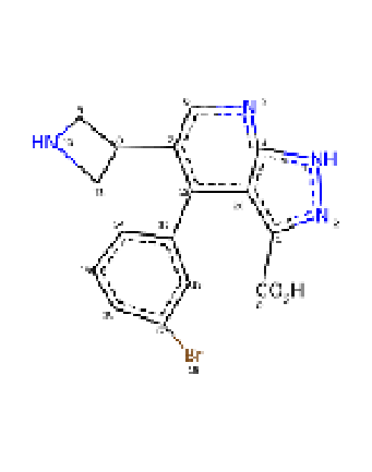 O=C(O)c1n[nH]c2ncc(C3CNC3)c(-c3cccc(Br)c3)c12